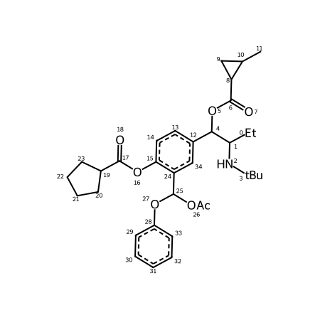 CCC(NC(C)(C)C)C(OC(=O)C1CC1C)c1ccc(OC(=O)C2CCCC2)c(C(OC(C)=O)Oc2ccccc2)c1